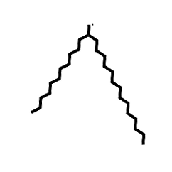 [CH2]C(CCCCCCCCCCC)CCCCCCCCCCCCCC